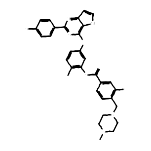 Cc1ccc(Oc2nc(-c3ccc(N)cc3)nc3cc[nH]c23)cc1NC(=O)c1ccc(CN2CCN(C)CC2)c(C(F)(F)F)c1